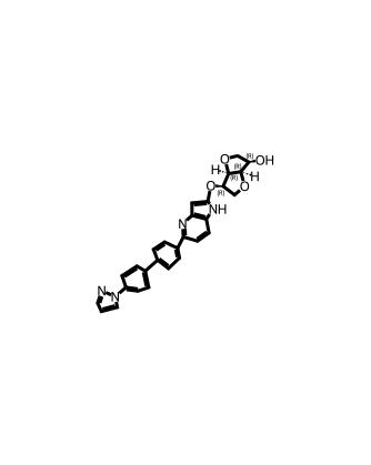 O[C@@H]1CO[C@H]2[C@@H]1OC[C@H]2Oc1cc2nc(-c3ccc(-c4ccc(-n5cccn5)cc4)cc3)ccc2[nH]1